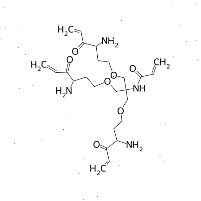 C=CC(=O)NC(COCCC(N)C(=O)C=C)(COCCC(N)C(=O)C=C)COCCC(N)C(=O)C=C